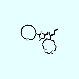 C=C/C=C(\N=C1/CSC(C2CCCCCCCCCCCC2)=N1)C1CCCCCCCCCCC1